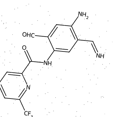 N=Cc1cc(NC(=O)c2cccc(C(F)(F)F)n2)c(C=O)cc1N